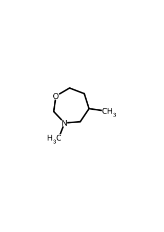 CC1CCOCN(C)C1